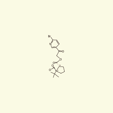 CC(C)(C)[N+]1(C(=O)[O-])CCC[C@H]1C(=O)OCC(=O)c1ccc(Br)nc1